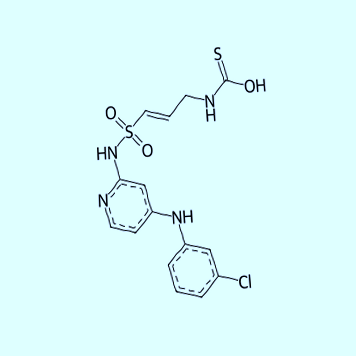 O=S(=O)(C=CCNC(O)=S)Nc1cc(Nc2cccc(Cl)c2)ccn1